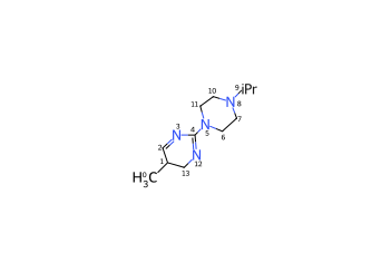 CC1C=NC(N2CCN(C(C)C)CC2)=NC1